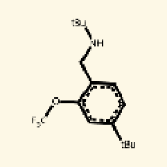 CC(C)(C)NCc1ccc(C(C)(C)C)cc1OC(F)(F)F